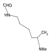 CNC(C)CCCCNC=O